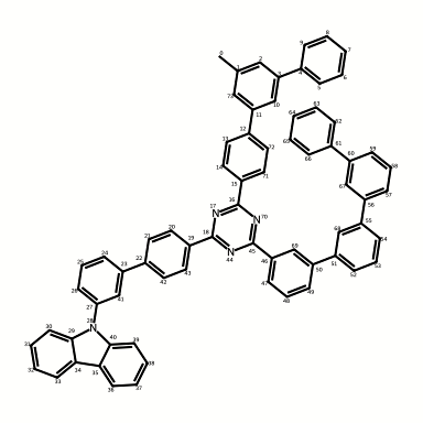 Cc1cc(-c2ccccc2)cc(-c2ccc(-c3nc(-c4ccc(-c5cccc(-n6c7ccccc7c7ccccc76)c5)cc4)nc(-c4cccc(-c5cccc(-c6cccc(-c7ccccc7)c6)c5)c4)n3)cc2)c1